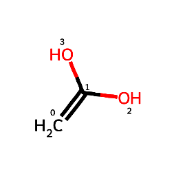 C=C(O)O